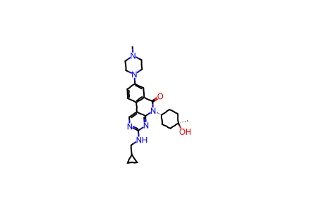 CN1CCN(c2ccc3c(c2)c(=O)n([C@H]2CC[C@](C)(O)CC2)c2nc(NCC4CC4)ncc32)CC1